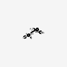 CCN1CCC(Nc2cccc3c(CC(F)(F)F)c(C#CCNc4cc(F)c(N5CCOCC5)cc4OCF)sc23)CC1